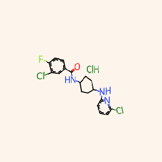 Cl.O=C(NC1CCC(Nc2cccc(Cl)n2)CC1)c1ccc(F)c(Cl)c1